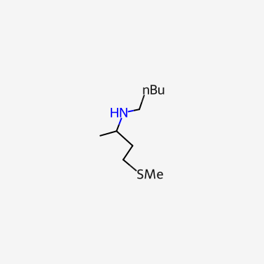 CCCCCNC(C)CCSC